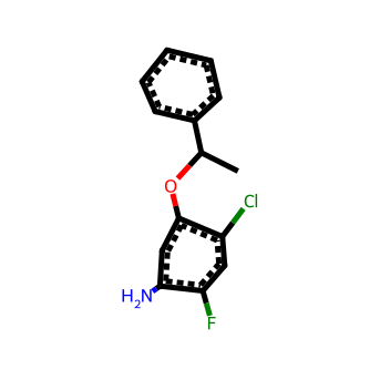 CC(Oc1cc(N)c(F)cc1Cl)c1ccccc1